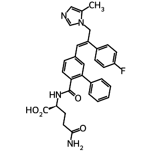 Cc1cncn1C/C(=C/c1ccc(C(=O)N[C@@H](CCC(N)=O)C(=O)O)c(-c2ccccc2)c1)c1ccc(F)cc1